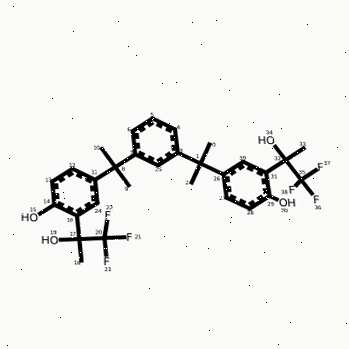 CC(C)(c1cccc(C(C)(C)c2ccc(O)c(C(C)(O)C(F)(F)F)c2)c1)c1ccc(O)c(C(C)(O)C(F)(F)F)c1